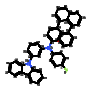 Fc1ccc(N(c2ccc(-c3cccc4cccc(-c5ccccc5)c34)cc2)c2cccc(-n3c4ccccc4c4ccccc43)c2)cc1